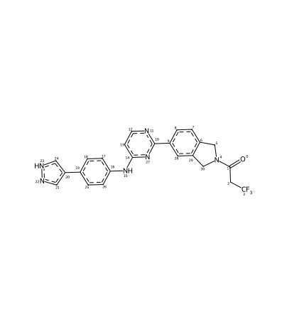 O=C(CC(F)(F)F)N1Cc2ccc(-c3nccc(Nc4ccc(-c5cn[nH]c5)cc4)n3)cc2C1